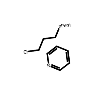 CCCCCCCCCl.c1ccncc1